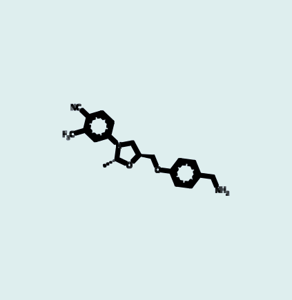 C[C@H]1O[C@H](COc2ccc(CN)cc2)CN1c1ccc(C#N)c(C(F)(F)F)c1